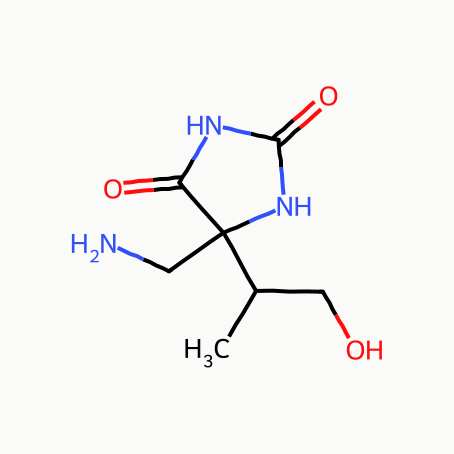 CC(CO)C1(CN)NC(=O)NC1=O